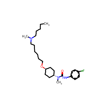 CCCCCN(C)CCCCCCO[C@H]1CC[C@H](N(C)C(=O)Nc2ccc(F)cc2)CC1